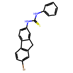 S=C(Nc1ccccc1)Nc1ccc2c(c1)Cc1cc(Br)ccc1-2